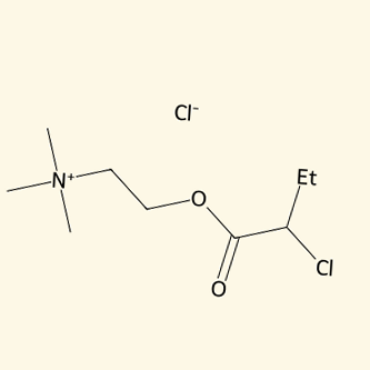 CCC(Cl)C(=O)OCC[N+](C)(C)C.[Cl-]